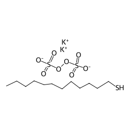 CCCCCCCCCCCCS.O=S(=O)([O-])OOS(=O)(=O)[O-].[K+].[K+]